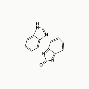 O=C1N=c2ccccc2=N1.c1ccc2[nH]cnc2c1